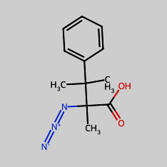 CC(N=[N+]=[N-])(C(=O)O)C(C)(C)c1ccccc1